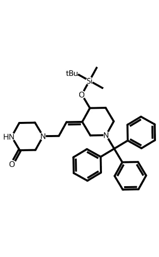 CC(C)(C)[Si](C)(C)OC1CCN(C(c2ccccc2)(c2ccccc2)c2ccccc2)CC1=CCN1CCNC(=O)C1